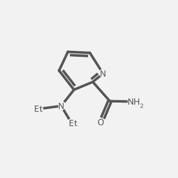 CCN(CC)c1cccnc1C(N)=O